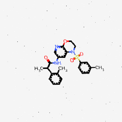 Cc1cccc(S(=O)(=O)N2CCOc3ncc(NC(=O)C(C)c4ccccc4C)cc32)c1